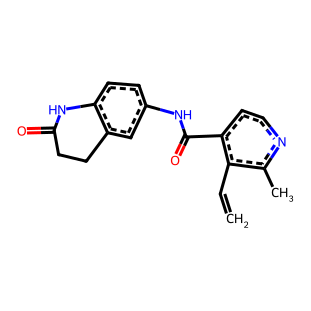 C=Cc1c(C(=O)Nc2ccc3c(c2)CCC(=O)N3)ccnc1C